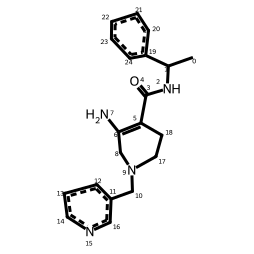 CC(NC(=O)C1=C(N)CN(Cc2cccnc2)CC1)c1ccccc1